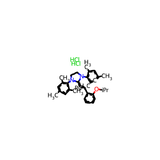 Cc1cc(C)c(N2CCN(c3c(C)cc(C)cc3C)[C]2=[Ru]=[CH]c2ccccc2OC(C)C)c(C)c1.Cl.Cl